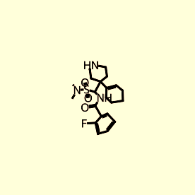 CN(C)S(=O)(=O)C(NC(=O)c1ccccc1F)C1(C2=CCCCC2)CCNCC1